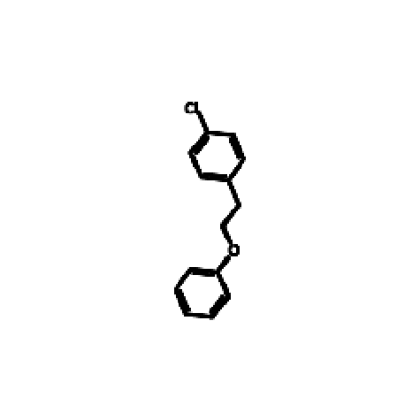 Clc1ccc(CCOc2ccccc2)cc1